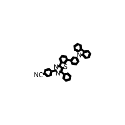 N#Cc1ccc(-c2nc(-c3ccccc3)c3sc4c(-c5cccc(-n6c7ccccc7c7ccccc76)c5)cccc4c3n2)cc1